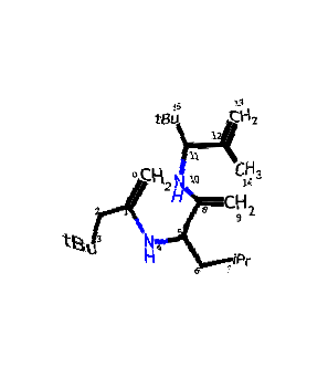 C=C(CC(C)(C)C)NC(CC(C)C)C(=C)NC(C(=C)C)C(C)(C)C